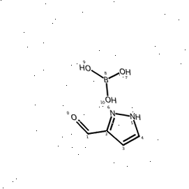 O=Cc1cc[nH]n1.OB(O)O